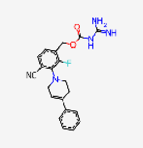 N#Cc1ccc(COC(=O)NC(=N)N)c(F)c1N1CC=C(c2ccccc2)CC1